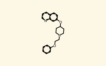 c1ccc(OCCN2CCC(Oc3ccc4cccnc4c3)CC2)cc1